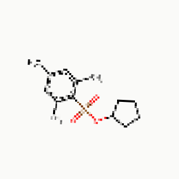 Cc1cc(C)c(S(=O)(=O)OC2CCCC2)c(C)c1